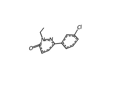 CCn1nc(-c2cccc(Cl)c2)ccc1=O